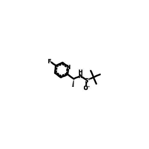 C[C@@H](N[S+]([O-])C(C)(C)C)c1ccc(F)cn1